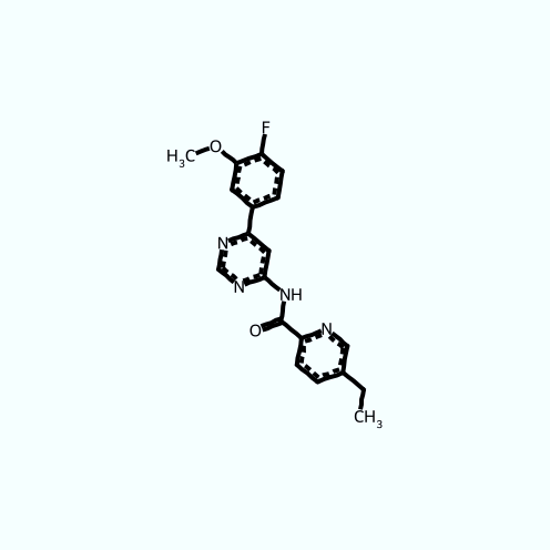 CCc1ccc(C(=O)Nc2cc(-c3ccc(F)c(OC)c3)ncn2)nc1